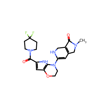 CN1CC2=C(CNC(N3CCOc4cc(C(=O)N5CCC(F)(F)CC5)[nH]c43)=C2)C1=O